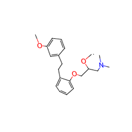 [CH2]OC(COc1ccccc1CCc1cccc(OC)c1)CN(C)C